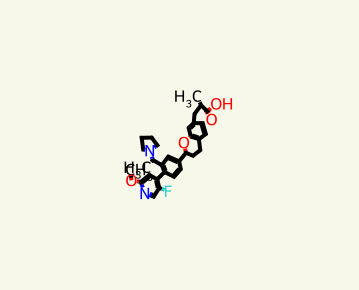 COc1cc(-c2ccc(C3CCc4ccc(CC(C)C(=O)O)cc4O3)cc2C(C)N2CCCC2)c(F)cn1